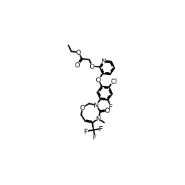 CCOC(=O)COc1ncccc1Oc1cc(N2COC/C=C(/C(F)(F)F)N(C)C2=O)c(F)cc1Cl